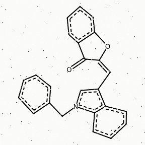 O=C1C(=Cc2cn(Cc3ccccc3)c3ccccc23)Oc2ccccc21